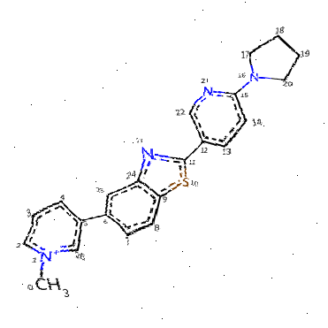 C[n+]1cccc(-c2ccc3sc(-c4ccc(N5CCCC5)nc4)nc3c2)c1